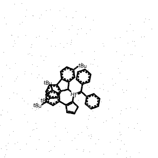 CC(C)(C)c1cc(C2=[C]([Hf](=[C](c3ccccc3)c3ccccc3)[CH]3c4cc(C(C)(C)C)ccc4-c4ccc(C(C)(C)C)cc43)CC=C2)cc(C(C)(C)C)c1